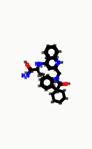 CC(C)[C@H](Nc1cc(CNC(=O)C2(c3ccccc3)CCCCC2)nc2ccccc12)C(N)=O